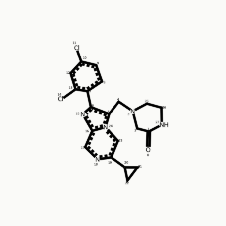 O=C1CN(Cc2c(-c3ccc(Cl)cc3Cl)nc3cnc(C4CC4)cn23)CCN1